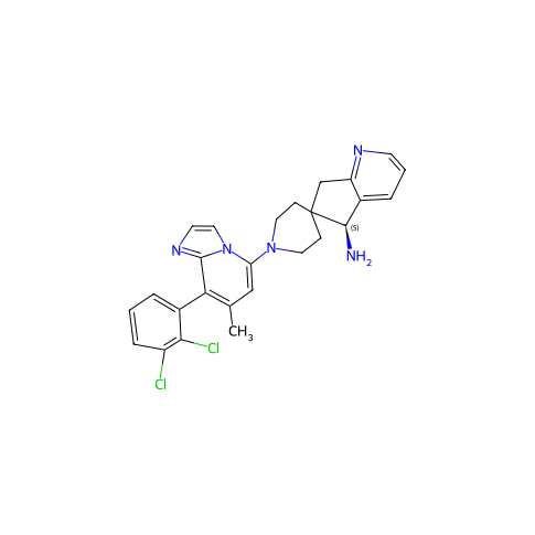 Cc1cc(N2CCC3(CC2)Cc2ncccc2[C@H]3N)n2ccnc2c1-c1cccc(Cl)c1Cl